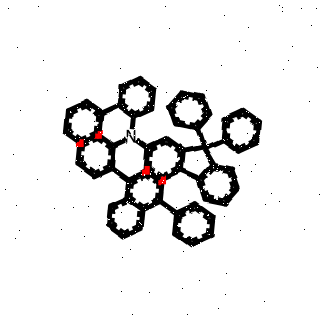 c1ccc(-c2ccccc2N(c2ccc3c(c2)C(c2ccccc2)(c2ccccc2)c2ccccc2-3)c2ccccc2-c2ccc(-c3ccccc3)c3ccccc23)cc1